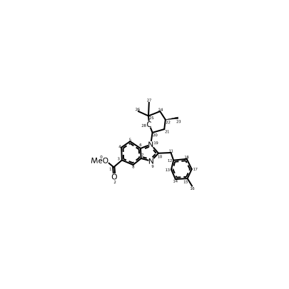 COC(=O)c1ccc2c(c1)nc(Cc1ccc(C)cc1)n2C1C[C@H](C)CC(C)(C)C1